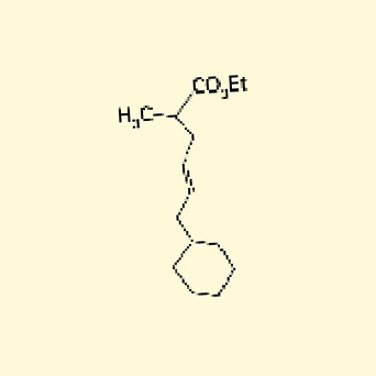 CCOC(=O)C(C)CC=CCC1CCCCC1